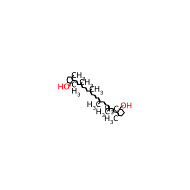 CC1=C(/C=C/C(C)=C/C=C/C(C)=C/C=C/C=C(C)/C=C/C=C(C)/C=C/C2=C(C)CCC[C@]2(C)CO)[C@@](C)(CO)CCC1